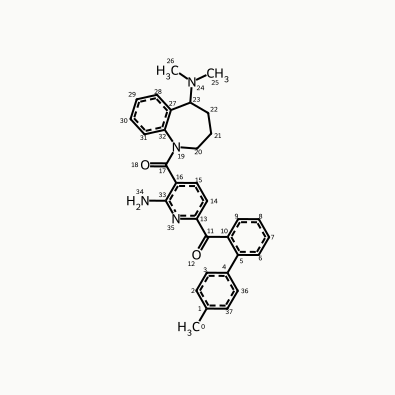 Cc1ccc(-c2ccccc2C(=O)c2ccc(C(=O)N3CCCC(N(C)C)c4ccccc43)c(N)n2)cc1